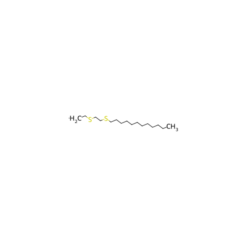 [CH2]CSCCSCCCCCCCCCCCC